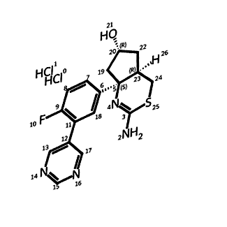 Cl.Cl.NC1=N[C@@]2(c3ccc(F)c(-c4cncnc4)c3)C[C@H](O)C[C@H]2CS1